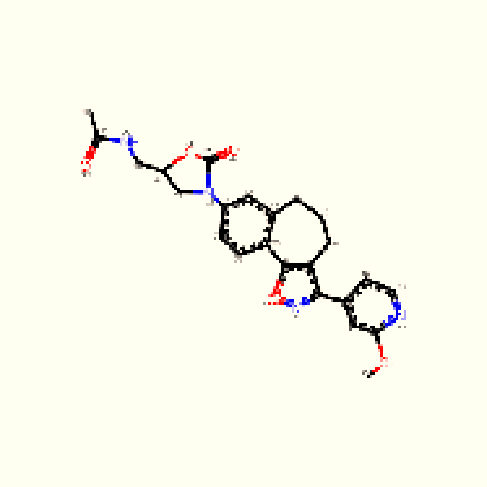 COc1cc(-c2noc3c2CCCc2cc(N4CC(CNC(C)=O)OC4=O)ccc2-3)ccn1